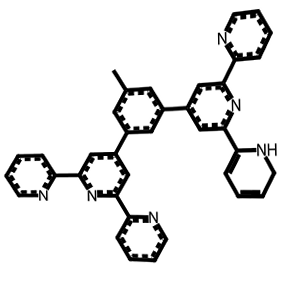 Cc1cc(-c2cc(C3=CC=CCN3)nc(-c3ccccn3)c2)cc(-c2cc(-c3ccccn3)nc(-c3ccccn3)c2)c1